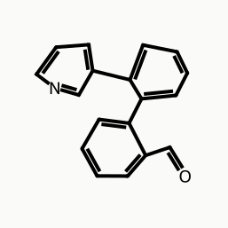 O=Cc1ccccc1-c1ccccc1-c1cccnc1